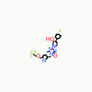 Cc1nc(N2CC=C(c3ccc(F)cc3)C(O)C2)nc(=O)n1Cc1ccc(COCC(F)(F)F)nc1